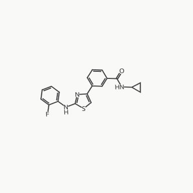 O=C(NC1CC1)c1cccc(-c2csc(Nc3ccccc3F)n2)c1